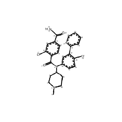 CN1CCC(N(C(=O)c2ccc(C(N)=O)cc2Cl)c2ccc(Cl)c(-c3ccccn3)c2)CC1